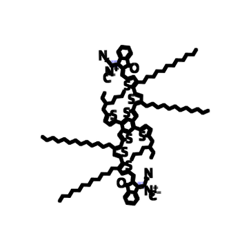 [C-]#[N+]/C(C#N)=C1\C(=Cc2cc(CCCCCCCCCCCC)c(-c3cc(CCCCCCCCCCCC)c(-c4cc5c(-c6ccc(CC(CC)CCCC)s6)c6sc(-c7sc(-c8sc(C=C9C(=O)c%10ccccc%10/C9=C(/C#N)[N+]#[C-])cc8CCCCCCCCCCCC)cc7CCCCCCCCCCCCC)cc6c(-c6ccc(CC(CC)CCCC)s6)c5s4)s3)s2)C(=O)c2ccccc21